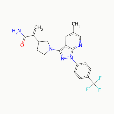 C=C(C(N)=O)C1CCN(c2nn(-c3ccc(C(F)(F)F)cc3)c3ncc(C)cc23)C1